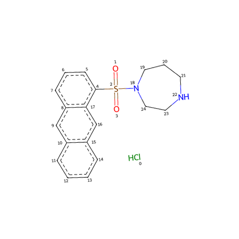 Cl.O=S(=O)(c1cccc2cc3ccccc3cc12)N1CCCNCC1